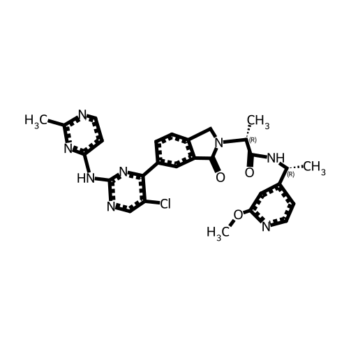 COc1cc([C@@H](C)NC(=O)[C@@H](C)N2Cc3ccc(-c4nc(Nc5ccnc(C)n5)ncc4Cl)cc3C2=O)ccn1